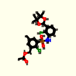 CC(=O)OCc1cc(C)cc(S(=O)(=O)Nc2cccc(B3OC(C)(C)C(C)(C)O3)c2F)c1Cl